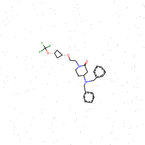 O=C1CC(N(Cc2ccccc2)Cc2ccccc2)CCN1CCO[C@H]1C[C@@H](OC(F)(F)F)C1